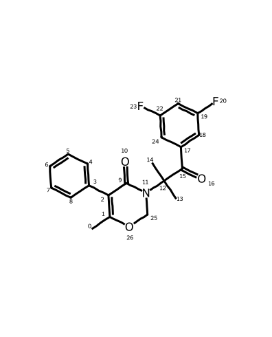 CC1=C(c2ccccc2)C(=O)N(C(C)(C)C(=O)c2cc(F)cc(F)c2)CO1